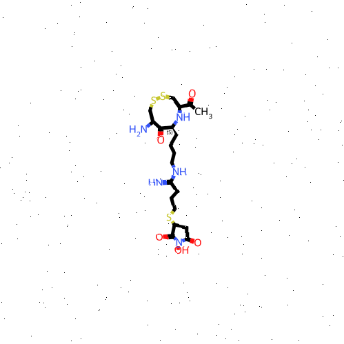 CC(=O)C1CSSCC(N)C(=O)[C@H](CCCCNC(=N)CCCSC2CC(=O)N(O)C2=O)N1